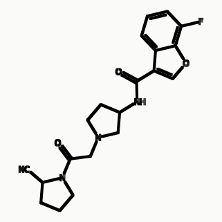 N#CC1CCCN1C(=O)CN1CCC(NC(=O)c2coc3c(F)cccc23)C1